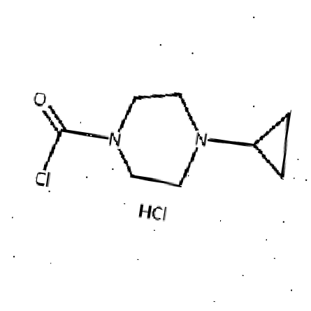 Cl.O=C(Cl)N1CCN(C2CC2)CC1